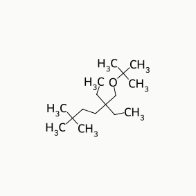 CCC(CC)(CCC(C)(C)C)COC(C)(C)C